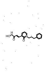 O=C(/C=C/c1cccn(CCCc2ccccc2)c1=O)NO